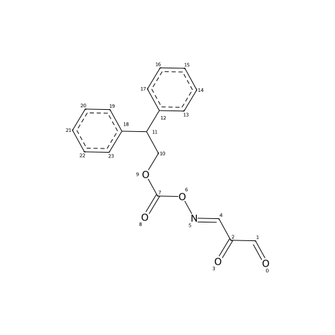 O=CC(=O)C=NOC(=O)OCC(c1ccccc1)c1ccccc1